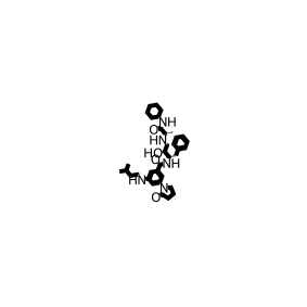 CC(C)CCNc1cc(C(=O)N[C@@H](Cc2ccccc2)[C@H](O)CN[C@@H](C)C(=O)NC2CCCCC2)cc(N2CCCC2=O)c1